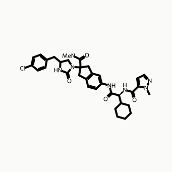 CNC(=O)C1(N2CC(Cc3ccc(Cl)cc3)NC2=O)Cc2ccc(NC(=O)[C@@H](NC(=O)c3ccnn3C)C3CCCCC3)cc2C1